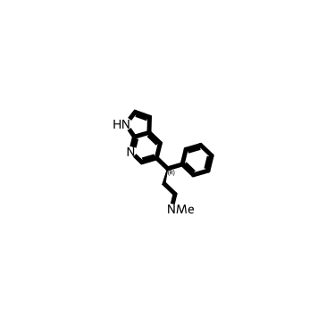 CNCC[C@H](c1ccccc1)c1cnc2[nH]ccc2c1